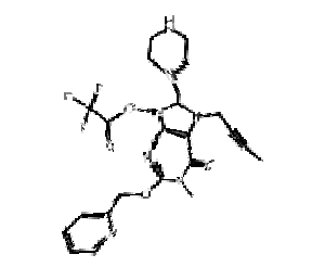 CC#CCN1c2c(nc(OCc3ccccn3)n(C)c2=O)N(OC(=O)C(F)(F)F)C1N1CCNCC1